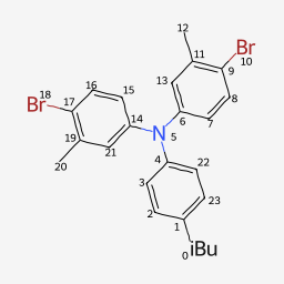 CCC(C)c1ccc(N(c2ccc(Br)c(C)c2)c2ccc(Br)c(C)c2)cc1